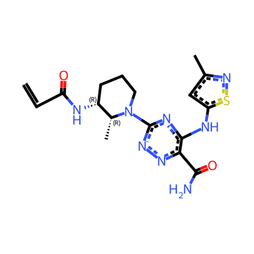 C=CC(=O)N[C@@H]1CCCN(c2nnc(C(N)=O)c(Nc3cc(C)ns3)n2)[C@@H]1C